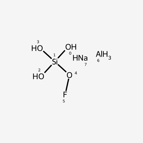 O[Si](O)(O)OF.[AlH3].[NaH]